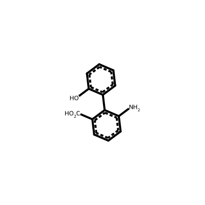 Nc1cccc(C(=O)O)c1-c1ccccc1O